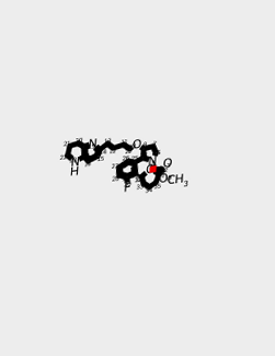 COC(=O)CN1CCC(OCCCCc2ccc3c(n2)CCCN3)C1c1cccc(F)c1[C@@H]1CCCCO1